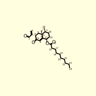 C=C(C=O)[C@@H]1C[C@@]2(C)C(=CC1=O)[C@H](OC(=O)CCCCCCCCC)CC[C@@H]2C